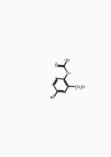 CCOC(=O)c1cc(C(C)C)ccc1OC(=O)CC